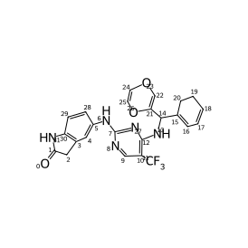 O=C1Cc2cc(Nc3ncc(C(F)(F)F)c(NC(C4=CC=CCC4)C4=COC=CO4)n3)ccc2N1